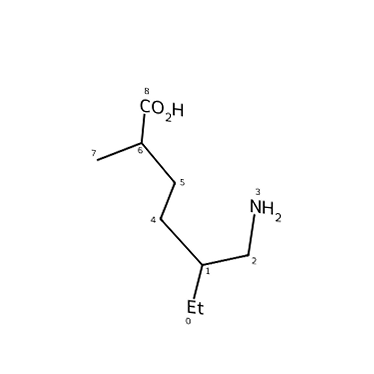 CCC(CN)CCC(C)C(=O)O